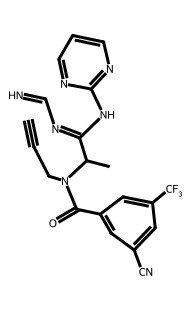 C#CCN(C(=O)c1cc(C#N)cc(C(F)(F)F)c1)C(C)/C(=N/C=N)Nc1ncccn1